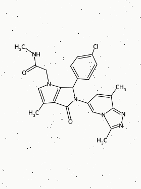 CNC(=O)Cn1cc(C)c2c1C(c1ccc(Cl)cc1)N(c1cc(C)c3nnc(C)n3c1)C2=O